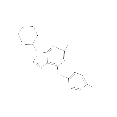 Oc1ccc(Nc2nc(S)nc3c2ncn3C2CCCCO2)cc1